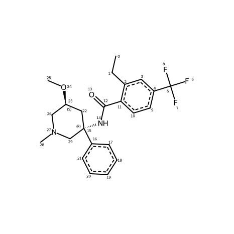 CCc1cc(C(F)(F)F)ccc1C(=O)N[C@@]1(c2ccccc2)C[C@H](OC)CN(C)C1